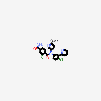 COc1ccc(N(C(=O)c2ccc(C(N)=O)cc2Cl)c2ccc(Cl)c(-c3ccccn3)c2)cn1